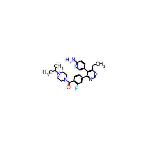 CCc1ncnc(-c2ccc(C(=O)N3CCN(C(C)C)CC3)c(F)c2)c1-c1ccc(N)nc1